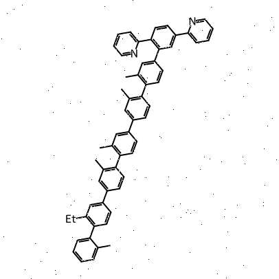 CCc1cc(-c2ccc(-c3ccc(-c4ccc(-c5ccc(-c6cc(-c7ccccn7)ccc6-c6ccccn6)cc5C)c(C)c4)cc3C)c(C)c2)ccc1-c1ccccc1C